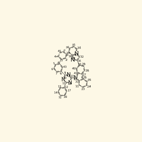 c1ccc(-c2cccc(-c3nc(-c4ccccc4)nc(-n4c5ccccc5c5ccc(-c6cn7ccccc7n6)cc54)n3)c2)cc1